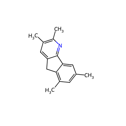 Cc1cc(C)c2c(c1)-c1nc(C)c(C)cc1C2